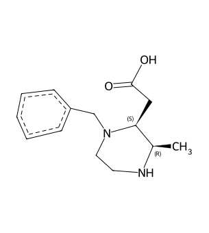 C[C@H]1NCCN(Cc2ccccc2)[C@H]1CC(=O)O